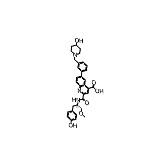 COC[C@H](Cc1ccc(O)cc1)NC(=O)c1cc(C(=O)O)c2cc(-c3cccc(CN4CCC(O)CC4)c3)ccc2n1